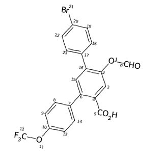 O=COc1cc(C(=O)O)c(-c2ccc(OC(F)(F)F)cc2)cc1-c1ccc(Br)cc1